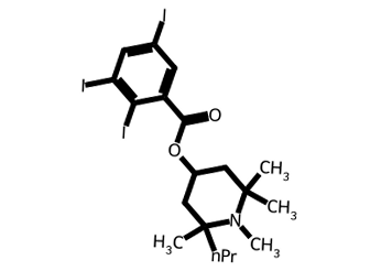 CCCC1(C)CC(OC(=O)c2cc(I)cc(I)c2I)CC(C)(C)N1C